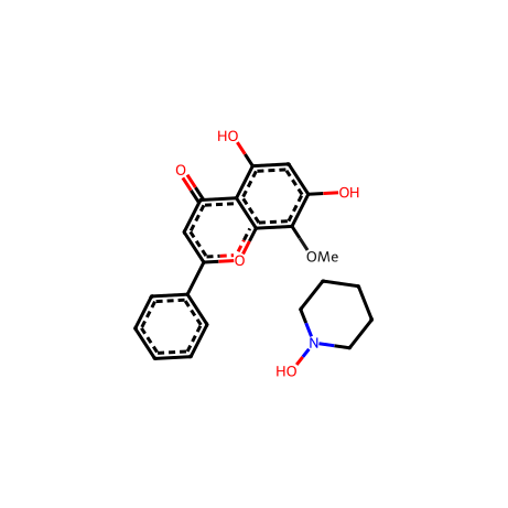 COc1c(O)cc(O)c2c(=O)cc(-c3ccccc3)oc12.ON1CCCCC1